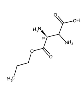 CCCOC(=O)[C@@H](N)C(N)C(=O)O